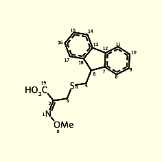 CO/N=C(\CSCC1c2ccccc2-c2ccccc21)C(=O)O